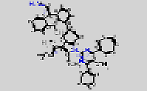 C/C=C(\C)c1c(CC)n(C(/N=C/C2=CCC#CC=C2)=N/C(CC)C2=CC=CCC2)c2ccc(-c3cccc(/C(=C/N)c4ccccc4CC)c3)cc12